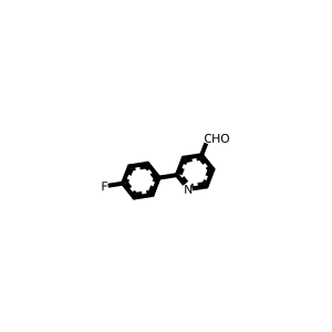 O=Cc1ccnc(-c2ccc(F)cc2)c1